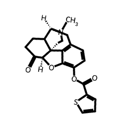 CN1CC[C@]23c4c5ccc(OC(=O)c6cccs6)c4O[C@H]2C(=O)CCC3[C@H]1C5